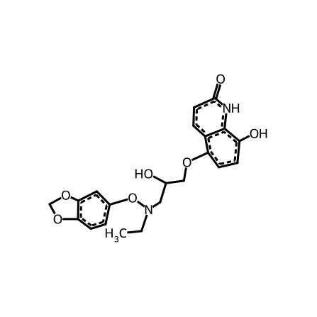 CCN(CC(O)COc1ccc(O)c2[nH]c(=O)ccc12)Oc1ccc2c(c1)OCO2